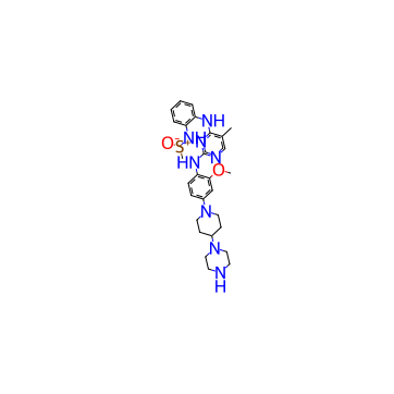 COc1cc(N2CCC(N3CCNCC3)CC2)ccc1Nc1ncc(C)c(Nc2ccccc2N[S+](C)[O-])n1